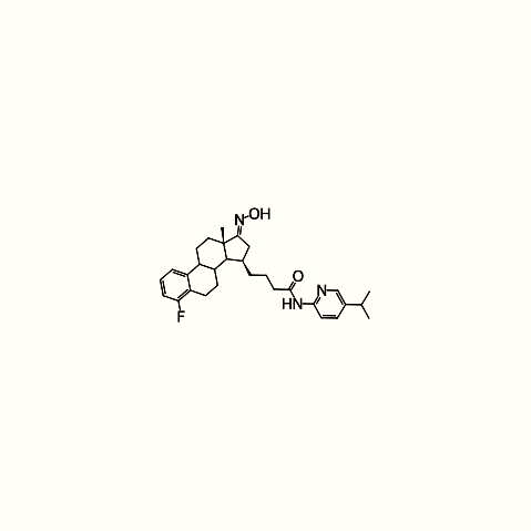 CC(C)c1ccc(NC(=O)CCC[C@@H]2C/C(=N\O)[C@@]3(C)CCC4c5cccc(F)c5CCC4C23)nc1